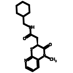 CN1C(=O)[C@H](CC(=O)NCC2CCCCC2)Sc2ncccc21